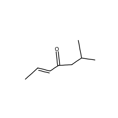 CC=CC(=O)CC(C)C